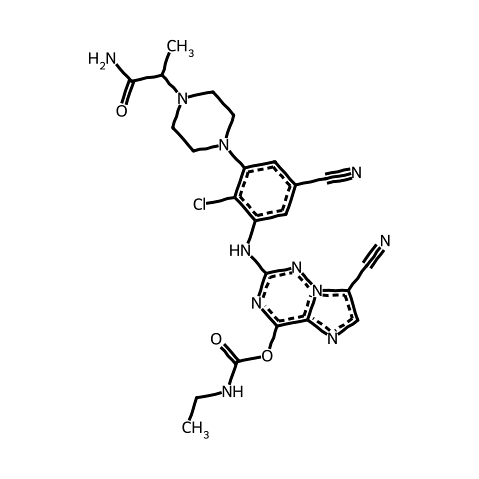 CCNC(=O)Oc1nc(Nc2cc(C#N)cc(N3CCN(C(C)C(N)=O)CC3)c2Cl)nn2c(C#N)cnc12